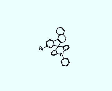 Brc1ccc2c(c1)C1(C3=C2C2=C(C=CCC2)CC3)c2ccccc2N(c2ccccc2)c2ccccc21